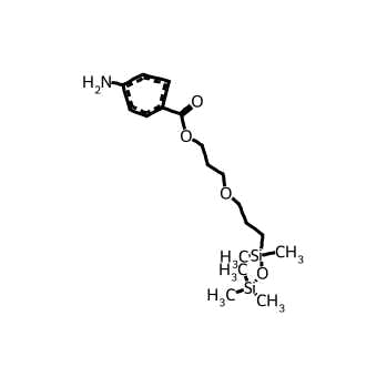 C[Si](C)(C)O[Si](C)(C)CCCOCCCOC(=O)c1ccc(N)cc1